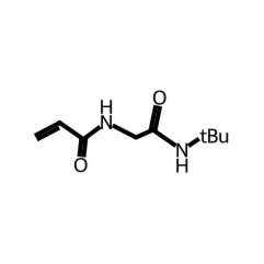 C=CC(=O)NCC(=O)NC(C)(C)C